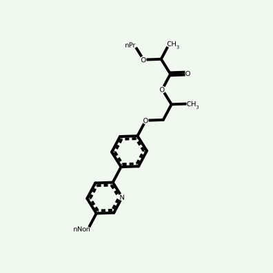 CCCCCCCCCc1ccc(-c2ccc(OCC(C)OC(=O)C(C)OCCC)cc2)nc1